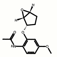 COc1ccc(NC(C)=O)c(O[C@H]2CC[C@H]3O[C@@H]23)c1